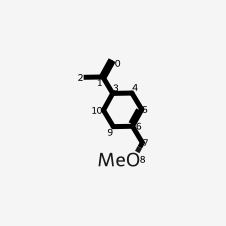 C=C(C)C1CC=C(COC)CC1